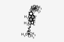 CC(C)(C)OOCCO[C@H]1CC[C@H]2[C@@H]3CC=C4C[C@@H](O[Si](C)(C)C(C)(C)C)CC[C@]4(C)[C@H]3CC[C@]12C